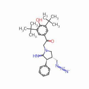 CC(C)(C)c1cc(C(=O)CN2C[C@H](CN=[N+]=[N-])[C@@H](c3ccccc3)C2=N)cc(C(C)(C)C)c1O